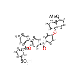 COc1cccc2c(Oc3ccc(C(=O)c4ccc(-c5ccc(C)cc5C(=O)c5cccc(S(=O)(=O)O)c5)cc4)cc3)cccc12